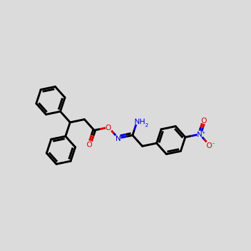 N/C(Cc1ccc([N+](=O)[O-])cc1)=N\OC(=O)CC(c1ccccc1)c1ccccc1